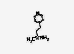 C[C@H](N)CCc1ccncc1